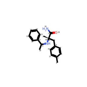 Cc1ccc(C[C@](C)(NC(C)c2ccccc2)C(N)=O)cc1